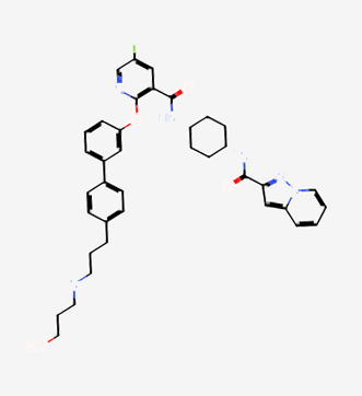 O=C(N[C@H]1CC[C@@H](NC(=O)c2cc(F)cnc2Oc2cccc(-c3ccc(CCCNCCCO)cc3)c2)CC1)c1cc2ccccn2n1